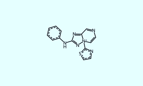 C1=C[N+]2(c3nccs3)N=C(Nc3ccccc3)N=C2C=N1